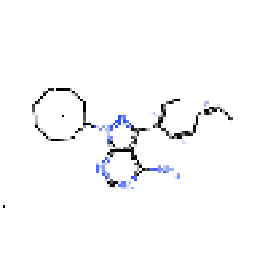 C\C=C/C=C\C(=C/C)c1nn(C2CCCCCCC2)c2ncnc(N)c12